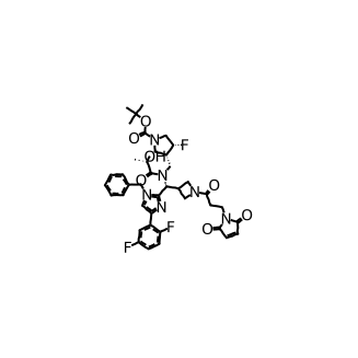 C[C@H](O)C(=O)N(C[C@@H]1CN(C(=O)OC(C)(C)C)C[C@@H]1F)[C@@H](c1nc(-c2cc(F)ccc2F)cn1Cc1ccccc1)C1CN(C(=O)CCN2C(=O)C=CC2=O)C1